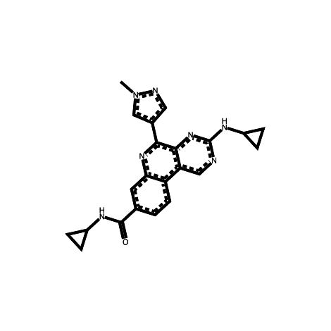 Cn1cc(-c2nc3cc(C(=O)NC4CC4)ccc3c3cnc(NC4CC4)nc23)cn1